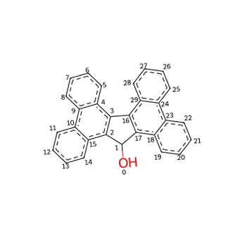 OC1c2c(c3ccccc3c3ccccc23)-c2c1c1ccccc1c1ccccc21